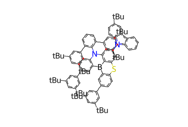 CC(C)(C)c1cc(-c2ccc3c(c2)B2c4cc(-c5cc(C(C)(C)C)cc(C(C)(C)C)c5)ccc4N(c4c(-c5cc(C(C)(C)C)cc(C(C)(C)C)c5)cccc4-c4cc(C(C)(C)C)cc(C(C)(C)C)c4)c4cc(-n5c6ccccc6c6cc(C(C)(C)C)ccc65)cc(c42)S3)cc(C(C)(C)C)c1